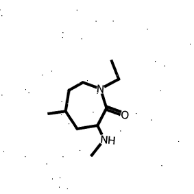 CCN1CCC(C)CC(NC)C1=O